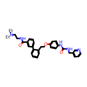 CCN(CC)CCNC(=O)c1cccc(-c2ccccc2CCOc2ccc(NC(=O)NCc3cccnc3)cc2)c1